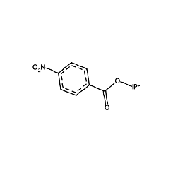 CC(C)OC(=O)c1ccc([N+](=O)[O-])cc1